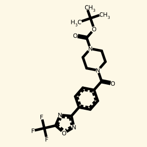 CC(C)(C)OC(=O)N1CCN(C(=O)c2ccc(-c3noc(C(F)(F)F)n3)cc2)CC1